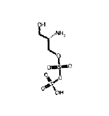 N[C@@H](CO)COS(=O)(=O)OS(=O)(=O)O